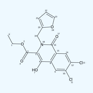 CCOC(=O)c1c(O)c2cc(Cl)c(Cl)cc2c(=O)n1Cc1ccco1